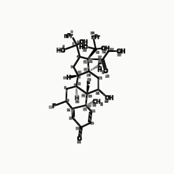 CCCC(O)(O)C1C[C@H]2[C@@H]3CC(F)C4=CC(=O)C=C[C@]4(C)[C@@]3(F)C(O)C[C@]2(C)[C@]1(C(=O)CO)C(O)(O)CCC